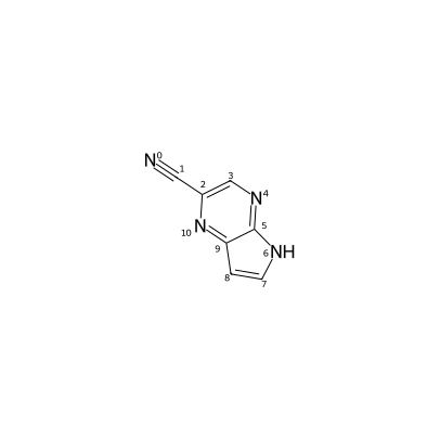 N#Cc1cnc2[nH]ccc2n1